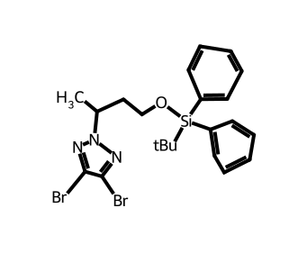 CC(CCO[Si](c1ccccc1)(c1ccccc1)C(C)(C)C)n1nc(Br)c(Br)n1